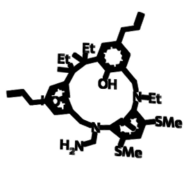 C=CCc1cc2c(O)c(c1)C(C)(CC)C(C)(CC)c1cc(CC=C)cc(c1O)CN(CN)c1c(SC)cc(SC)c(c1C)N(CC)C2